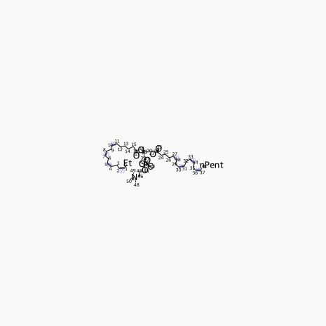 CC/C=C\C/C=C\C/C=C\C/C=C\CCCCC(=O)O[C@H](COC(=O)CCC/C=C\C/C=C\C/C=C\C/C=C\CCCCC)COP(=O)([O-])OCC[N+](C)(C)C